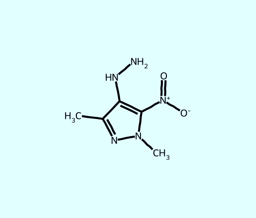 Cc1nn(C)c([N+](=O)[O-])c1NN